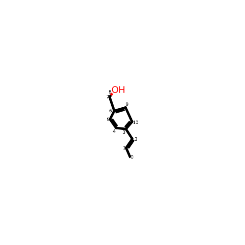 CC=Cc1ccc(CO)cc1